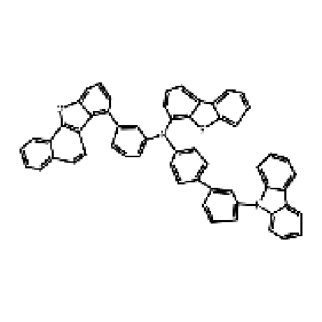 c1cc(-c2cccc3oc4c5ccccc5ccc4c23)cc(N(c2ccc(-c3cccc(-n4c5ccccc5c5ccccc54)c3)cc2)c2cccc3c2sc2ccccc23)c1